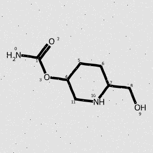 NC(=O)OC1CCC(CO)NC1